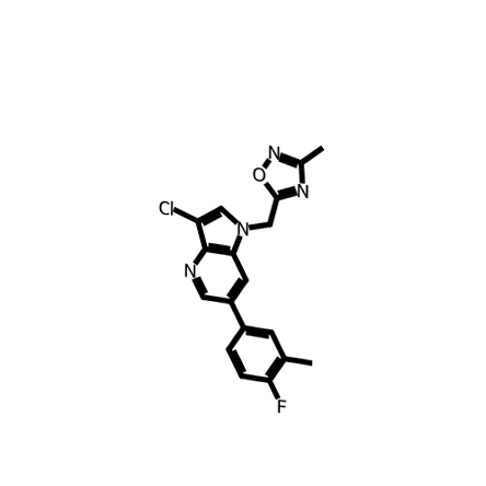 Cc1noc(Cn2cc(Cl)c3ncc(-c4ccc(F)c(C)c4)cc32)n1